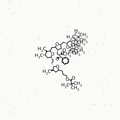 C=C1C(CC2OC(C[C@@H](CO[Si](C)(C)C(C)(C)C)O[Si](C)(C)C(C)(C)C)[C@H](OC)[C@H]2CS(=O)(=O)c2ccccc2)O[C@@H](CC[C@@H]2OC(CCCOC(=O)C(C)(C)C)CC2=C)C[C@H]1C